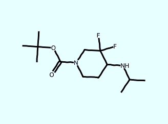 CC(C)NC1CCN(C(=O)OC(C)(C)C)CC1(F)F